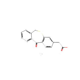 O=C([O-])Cc1ccc2c(c1)SCc1ccccc1C2=O.[Na+]